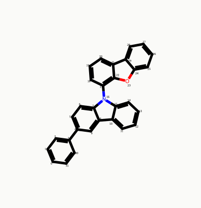 c1ccc(-c2ccc3c(c2)c2ccccc2n3-c2cccc3c2oc2ccccc23)cc1